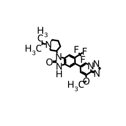 COc1cc(-c2cc3[nH]c(=O)n(C4CCCN(C(C)C)C4)c3cc2C(F)(F)F)cn2ncnc12